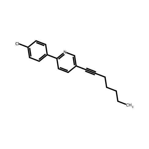 CCCCCC#Cc1ccc(-c2ccc(Cl)cc2)nc1